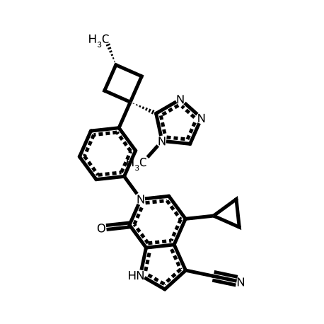 Cn1cnnc1[C@]1(c2cccc(-n3cc(C4CC4)c4c(C#N)c[nH]c4c3=O)c2)C[C@H](C)C1